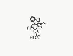 CCc1cc(C(=O)c2ccccc2Cl)c(-n2nc(C(=O)O)nc2CCl)s1